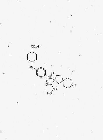 O=C(O)C1CCC(Nc2ccc(S(=O)(=O)C3(C(=O)NO)CCC4(CCNCC4)C3)cc2)CC1